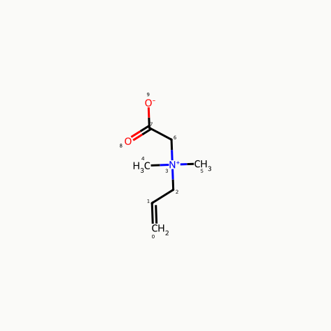 C=CC[N+](C)(C)CC(=O)[O-]